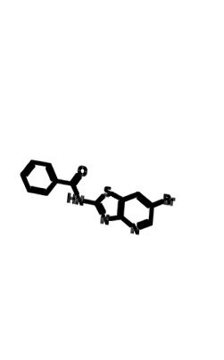 O=C(Nc1nc2ncc(Br)cc2s1)c1ccccc1